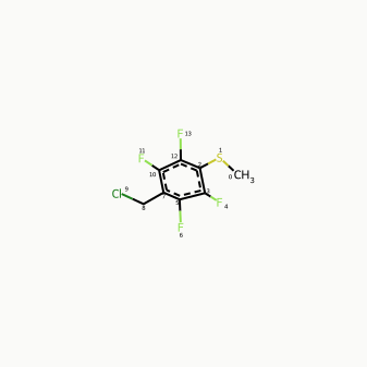 CSc1c(F)c(F)c(CCl)c(F)c1F